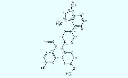 COC1CCN(C(C(C=O)c2ccc(Cl)cc2)N2CCN(c3ncnc4c3[C@H](C)C[C@H]4O)CC2)CC1